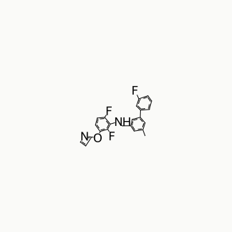 Cc1cc(CNc2c(F)ccc(OC3=NC=C3)c2F)cc(-c2cccc(F)c2)c1